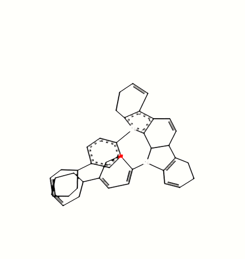 C1=CC2=C(CC1)C1C=Cc3c4c(n(-c5ccc(C6CC=CCC6)cc5)c3C1N2C1=CC=C(C2CC=CCC2)CC1)CCC=C4